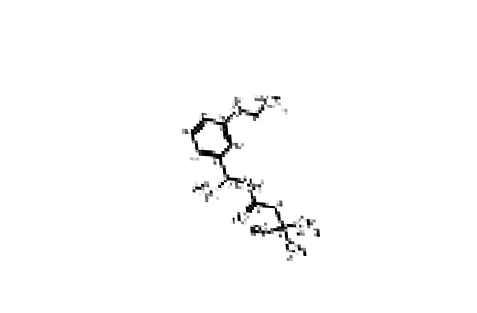 CC(C)C(O)(CC(=O)N[C@@H](C)c1cccc(OCC(F)(F)F)c1)C(F)(F)F